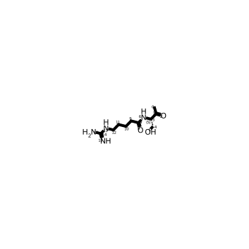 CC(=O)[C@H](CO)NC(=O)CCCCNC(=N)N